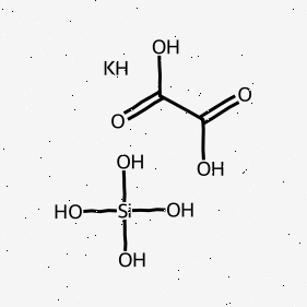 O=C(O)C(=O)O.O[Si](O)(O)O.[KH]